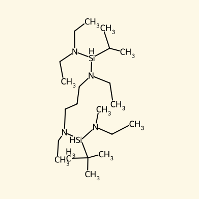 CCN(CC)[SiH](C(C)C)N(CC)CCCN(CC)[SiH](N(C)CC)C(C)(C)C